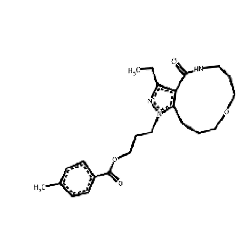 CCc1nn(CCCOC(=O)c2ccc(C)cc2)c2c1C(=O)NCCCOCCC2